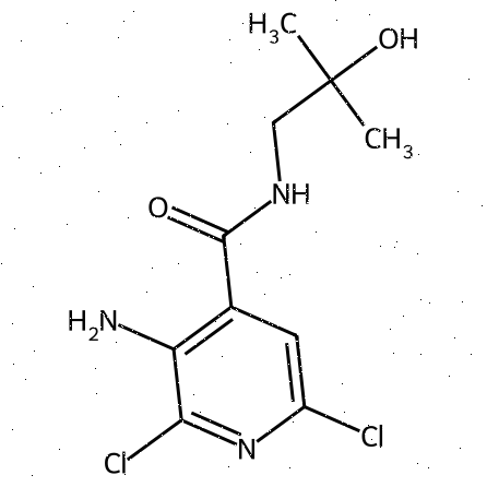 CC(C)(O)CNC(=O)c1cc(Cl)nc(Cl)c1N